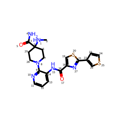 CNC1(C(N)=O)CCN(c2ncccc2NC(=O)c2csc(-c3ccsc3)n2)CC1